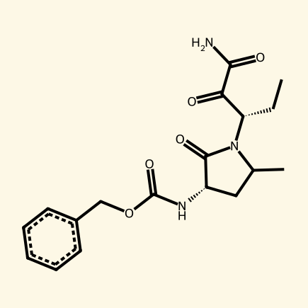 CC[C@@H](C(=O)C(N)=O)N1C(=O)[C@@H](NC(=O)OCc2ccccc2)CC1C